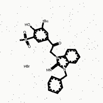 Br.CC(C)(C)c1cc(C(=O)Cn2c(=N)n(Cc3ccccc3)c3ccccc32)cc(S(C)(=O)=O)c1O